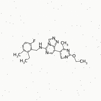 CCOc1ncc(-c2cnc(NCc3c(F)ccc(C)c3CC)n3cnnc23)c(C)n1